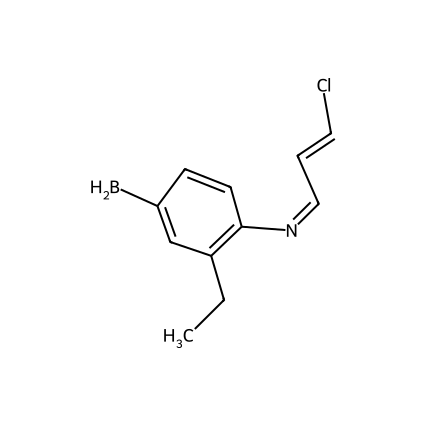 Bc1ccc(/N=C\C=C\Cl)c(CC)c1